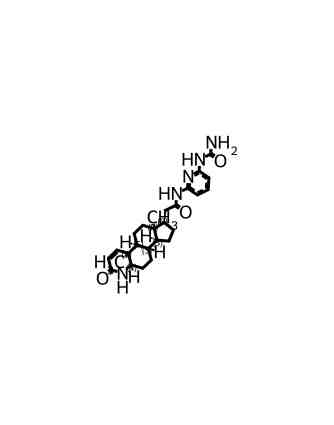 C[C@]12C=CC(=O)N[C@@H]1CC[C@@H]1[C@@H]2CC[C@]2(C)[C@@H](CC(=O)Nc3cccc(NC(N)=O)n3)CC[C@@H]12